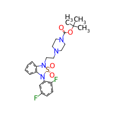 CC(C)(C)OC(=O)N1CCN(CCN2c3ccccc3N(c3cc(F)ccc3F)S2(=O)=O)CC1